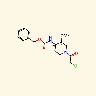 CO[C@H]1CN(C(=O)CCl)CC[C@H]1NC(=O)OCc1ccccc1